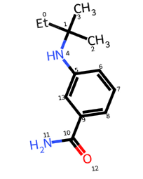 CCC(C)(C)Nc1cccc(C(N)=O)c1